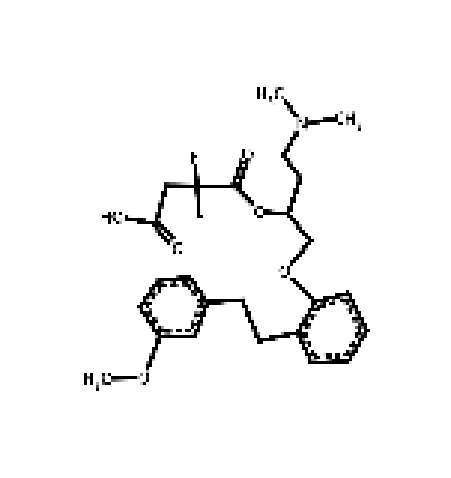 COc1cccc(CCc2ccccc2OCC(CCN(C)C)OC(=O)C(F)(F)CC(=O)O)c1